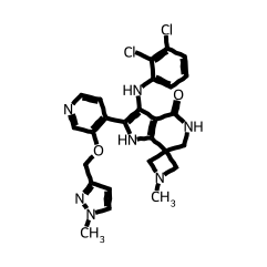 CN1CC2(CNC(=O)c3c2[nH]c(-c2ccncc2OCc2ccn(C)n2)c3Nc2cccc(Cl)c2Cl)C1